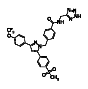 CS(=O)(=O)c1ccc(-c2cc(-c3ccc(OC(F)(F)F)cc3)nn2Cc2ccc(C(=O)NCc3nn[nH]n3)cc2)cc1